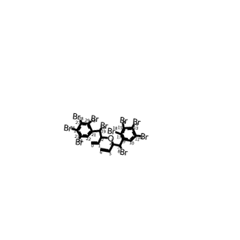 C=CC(OC(C=C)C(Br)c1cc(Br)c(Br)c(Br)c1Br)C(Br)c1cc(Br)c(Br)c(Br)c1Br